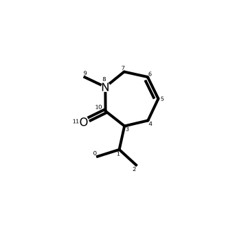 CC(C)C1CC=CCN(C)C1=O